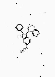 FC(F)(F)CC(c1ccccc1)c1c(-c2ccccc2)[nH]c2cc(N=C=S)ccc12